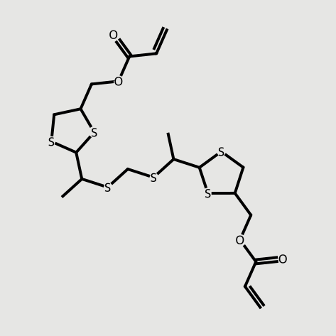 C=CC(=O)OCC1CSC(C(C)SCSC(C)C2SCC(COC(=O)C=C)S2)S1